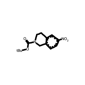 CC(C)(C)OC(=O)N1CCc2cc([N+](=O)[O-])ccc2C1